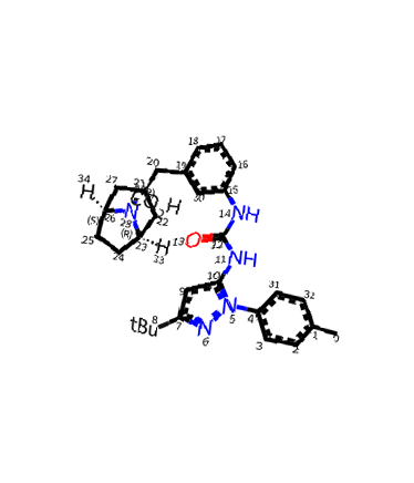 Cc1ccc(-n2nc(C(C)(C)C)cc2NC(=O)Nc2cccc(C[C@H]3C[C@H]4CC[C@@H](C3)N4C(=O)O)c2)cc1